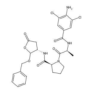 C[C@H](NC(=O)c1cc(Cl)c(N)c(Cl)c1)C(=O)N1CCC[C@H]1C(=O)N[C@H]1CC(=O)OC1OCc1ccccc1